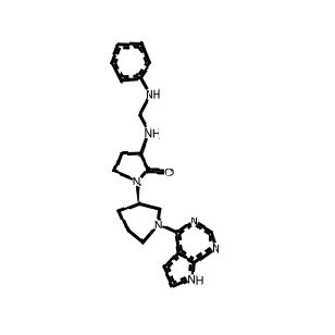 O=C1C(NCNc2ccccc2)CCN1[C@@H]1CCCN(c2ncnc3[nH]ccc23)C1